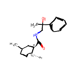 BC(O)(CNC(=O)[C@@H]1CC(C)CC[C@H]1C(C)C)c1ccccc1